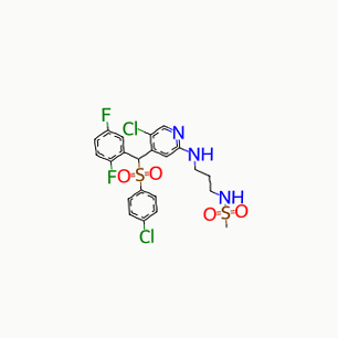 CS(=O)(=O)NCCCNc1cc(C(c2cc(F)ccc2F)S(=O)(=O)c2ccc(Cl)cc2)c(Cl)cn1